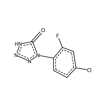 O=c1[nH]nnn1-c1ccc(Cl)cc1F